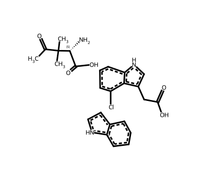 CC(=O)C(C)(C)[C@H](N)C(=O)O.O=C(O)Cc1c[nH]c2cccc(Cl)c12.c1ccc2[nH]ccc2c1